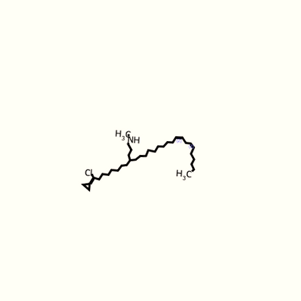 CCCCC/C=C\C/C=C\CCCCCCCCCC(CCCCCCCC(Cl)=C1CC1)CCCNC